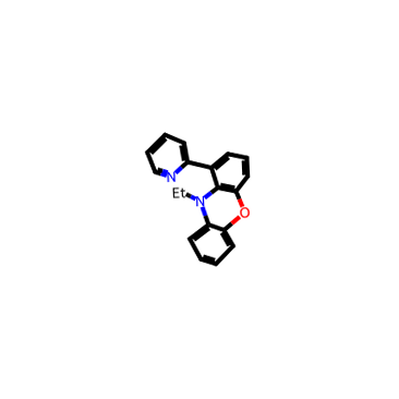 CCN1c2ccccc2Oc2cccc(-c3ccccn3)c21